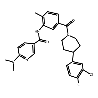 Cc1ccc(C(=O)N2CCC(c3ccc(Cl)c(Cl)c3)CC2)cc1NC(=O)c1ccc(N(C)C)nc1